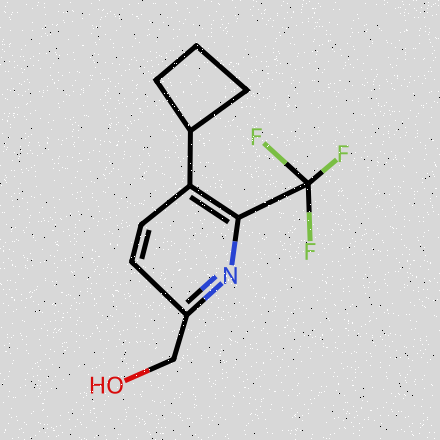 OCc1ccc(C2CCC2)c(C(F)(F)F)n1